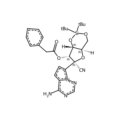 CC(C)(C)[Si]1(C(C)(C)C)OC[C@H]2O[C@@](C#N)(c3ccc4c(N)ncnn34)[C@H](OC(=O)Cc3ccccc3)[C@@H]2O1